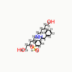 CS(=O)(=O)c1ccc(C=Cc2ccccc2)cc1.OCCCCCCNCCCCCCO